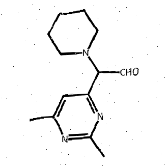 Cc1cc(C(C=O)N2CCCCC2)nc(C)n1